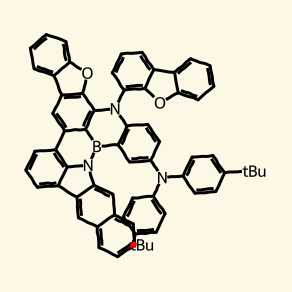 CC(C)(C)c1ccc(N(c2ccc(C(C)(C)C)cc2)c2ccc3c(c2)B2c4c(cc5c(oc6ccccc65)c4N3c3cccc4c3oc3ccccc34)-c3cccc4c5cc6ccccc6cc5n2c34)cc1